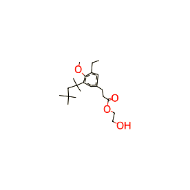 CCc1cc(CCC(=O)OCCO)cc(C(C)(C)CC(C)(C)C)c1OC